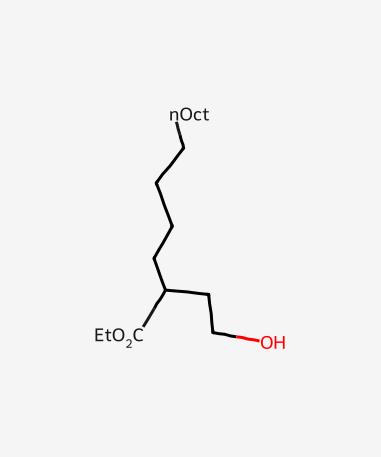 CCCCCCCCCCCCC(CCO)C(=O)OCC